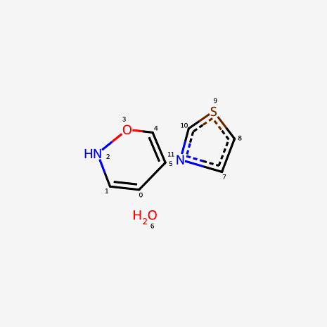 C1=CNOC=C1.O.c1cscn1